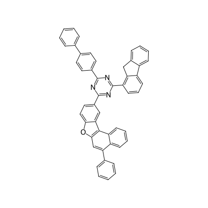 c1ccc(-c2ccc(-c3nc(-c4ccc5oc6cc(-c7ccccc7)c7ccccc7c6c5c4)nc(-c4cccc5c4Cc4ccccc4-5)n3)cc2)cc1